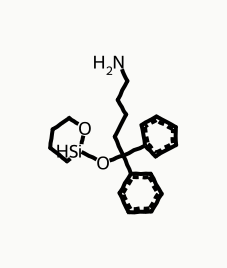 NCCCCC(O[SiH]1CCCCO1)(c1ccccc1)c1ccccc1